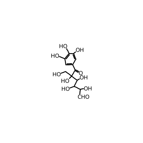 O=CC(O)C(O)C(O)C(O)(CO)C(=O)c1cc(O)c(O)c(O)c1